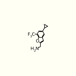 NCc1cc2cc(C3[CH]C3)cc(C(F)(F)F)c2o1